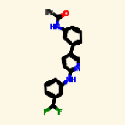 CC(C)C(=O)Nc1cccc(-c2ccc(Nc3cccc(C(F)F)c3)nc2)c1